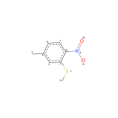 CSc1cc(C)ccc1[N+](=O)[O-]